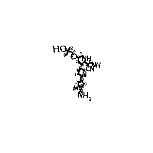 CC(C)(O)COC1=CN/C(=C(/C#N)C=N)C(c2ccc(N3CC4[C@H](N)[C@H]4C3)nc2)=C1